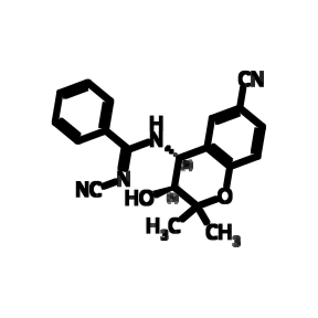 CC1(C)Oc2ccc(C#N)cc2[C@@H](NC(=NC#N)c2ccccc2)[C@@H]1O